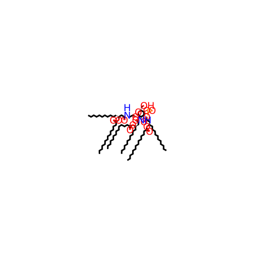 CCCCCCCCCCCCCC(=O)O[C@H](CCCCCCCCCCC)CC(=O)NCCO[C@@H]1O[C@H](CO)[C@@H](OP=O)[C@H](OC(=O)C[C@@H](CCCCCCCCCCC)OC(=O)CCCCCCCCCCCCC)[C@H]1NC(=O)C[C@@H](CCCCCCCCCCC)OC(=O)CCCCCCCCCCCCC